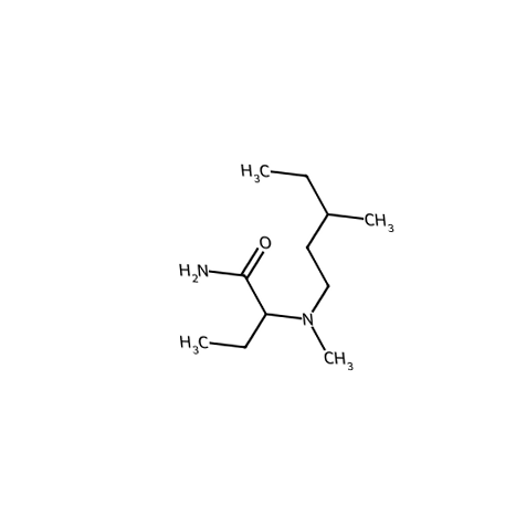 CCC(C)CCN(C)C(CC)C(N)=O